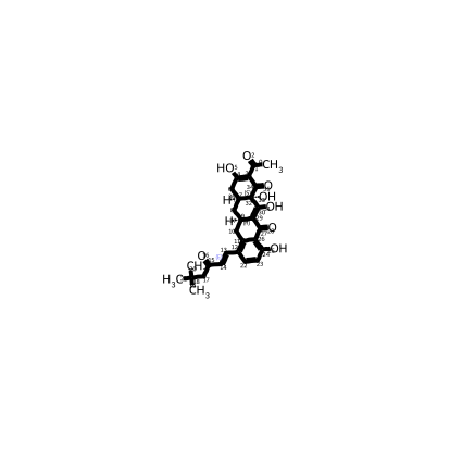 CC(=O)C1=C(O)C[C@@H]2C[C@@H]3Cc4c(/C=C/C(=O)CC(C)(C)C)ccc(O)c4C(=O)C3=C(O)[C@]2(O)C1=O